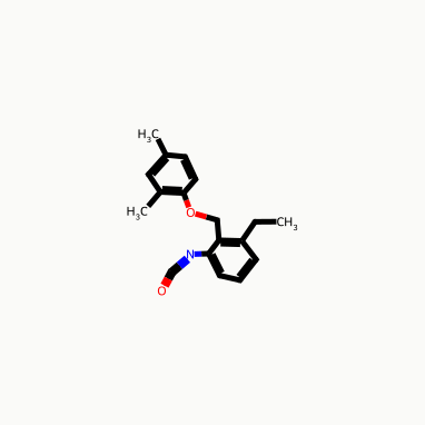 CCc1cccc(N=C=O)c1COc1ccc(C)cc1C